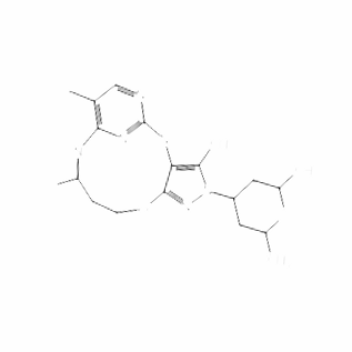 Cc1c2c(nn1C1CC(C)OC(C)C1)OCCC(C)Nc1nc(ncc1Cl)N2